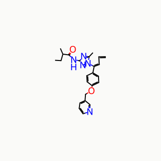 C=C/C=C(/c1ccc(OCc2cccnc2)cc1)n1nc(NC(=O)C(C)CC)nc1C